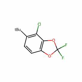 CC(C)(C)c1ccc2c(c1Cl)OC(F)(F)O2